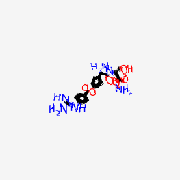 N=C(N)Nc1ccc(C(=O)Oc2ccc(CC(=O)N(N)[C@@H](CO)C(=O)ON)cc2)cc1